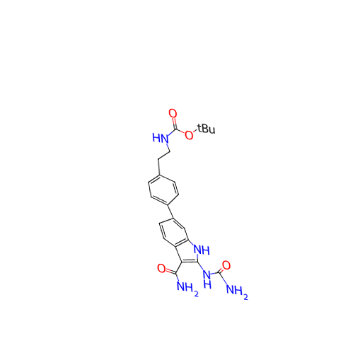 CC(C)(C)OC(=O)NCCc1ccc(-c2ccc3c(C(N)=O)c(NC(N)=O)[nH]c3c2)cc1